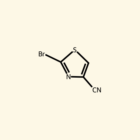 N#Cc1csc(Br)n1